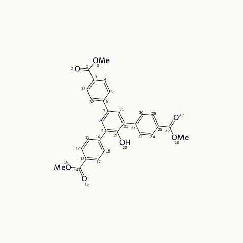 COC(=O)c1ccc(-c2cc(-c3ccc(C(=O)OC)cc3)c(O)c(-c3ccc(C(=O)OC)cc3)c2)cc1